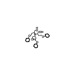 OCC(CCOc1ccccc1)N(C(CO)CCOc1ccccc1)C(CO)CCOc1ccccc1